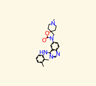 Cc1cccc(Nc2ncnc3ccc(N4CC5(CCN(C)CC5)OC4=O)cc23)c1C